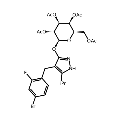 CC(=O)OC[C@H]1O[C@@H](Oc2n[nH]c(C(C)C)c2Cc2ccc(Br)cc2F)[C@H](OC(C)=O)[C@@H](OC(C)=O)[C@H]1OC(C)=O